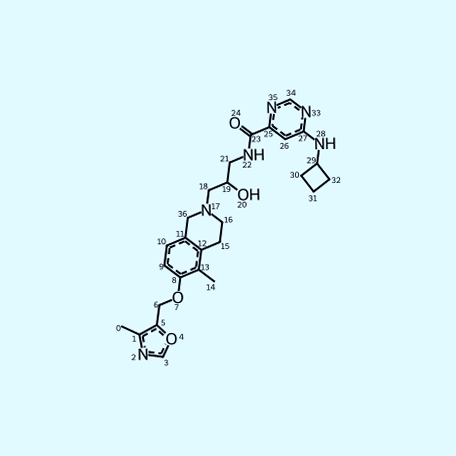 Cc1ncoc1COc1ccc2c(c1C)CCN(CC(O)CNC(=O)c1cc(NC3CCC3)ncn1)C2